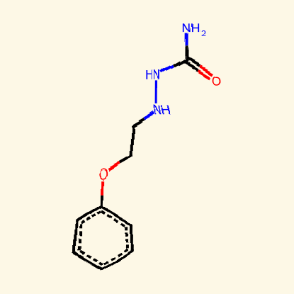 NC(=O)NNCCOc1ccccc1